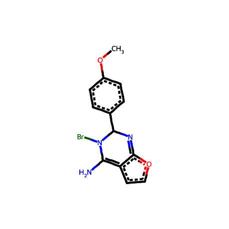 COc1ccc(C2N=c3occc3=C(N)N2Br)cc1